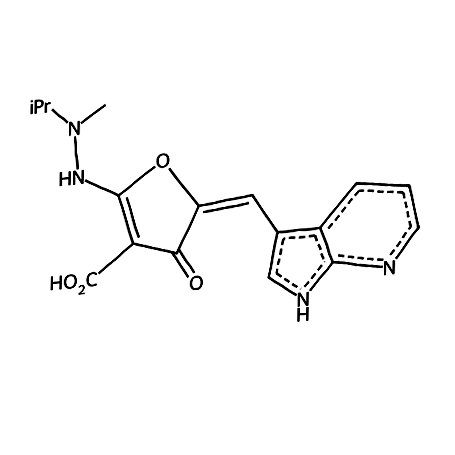 CC(C)N(C)NC1=C(C(=O)O)C(=O)C(=Cc2c[nH]c3ncccc23)O1